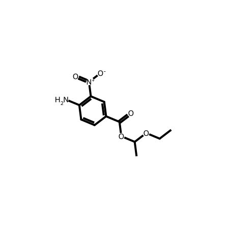 CCOC(C)OC(=O)c1ccc(N)c([N+](=O)[O-])c1